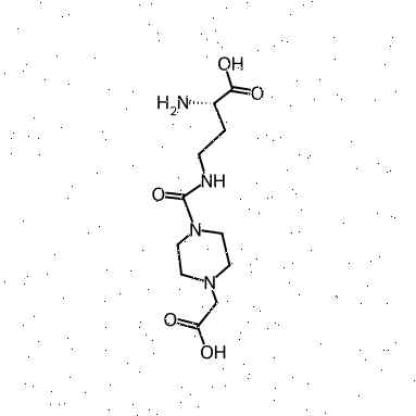 N[C@@H](CCNC(=O)N1CCN(CC(=O)O)CC1)C(=O)O